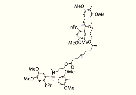 C=C(CC/C=C/CCC(=O)OCCCN(C)[C@H](Cc1cc(OC)c(C)c(OC)c1)c1cc(OC)c(OC)cc1CCC)OCCCN(C)/C(=C\c1cc(OC)c(C)c(OC)c1)c1cc(OC)c(OC)cc1CCC